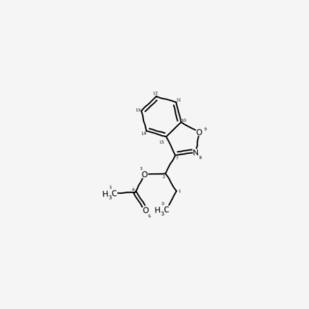 CCC(OC(C)=O)c1noc2ccccc12